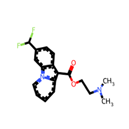 CN(C)CCOC(=O)c1c2ccc(C(F)F)cc2n2ccccc12